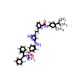 Cc1cc(NC(=O)c2cccc(CCc3cc(Nc4ccc(S(=O)(=O)N(C)C(c5ccccc5)c5ccccc5)cc4)n[nH]3)c2)ccc1C(C)C